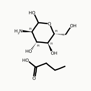 CCCC(=O)O.N[C@H]1C(O)O[C@H](CO)[C@@H](O)[C@@H]1O